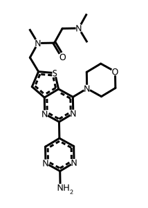 CN(C)CC(=O)N(C)Cc1cc2nc(-c3cnc(N)nc3)nc(N3CCOCC3)c2s1